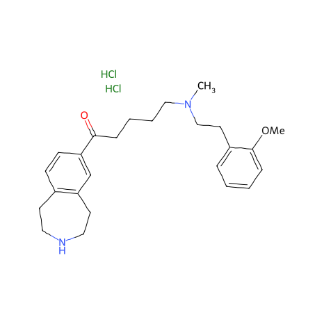 COc1ccccc1CCN(C)CCCCC(=O)c1ccc2c(c1)CCNCC2.Cl.Cl